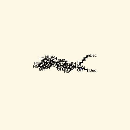 CCCCCCCCCCCCC/C=C/[C@@H](O)[C@H](CO[C@@H]1OC(CO)[C@@H](O[C@@H]2OC(CO)[C@H](O[C@@H]3OC(CO)[C@H](O)[C@H](O[C@@H]4OC(CO)[C@H](O)[C@H](O[C@@H]5OC(CO)[C@@H](O[C@@H]6OC(CO)[C@H](O)[C@H](O)C6O)[C@H](O)C5NC(C)=O)C4O)C3NC(C)=O)[C@H](O)C2O)[C@H](O)C1O)NC(=O)CCCCCCCCCCCCCCCCC